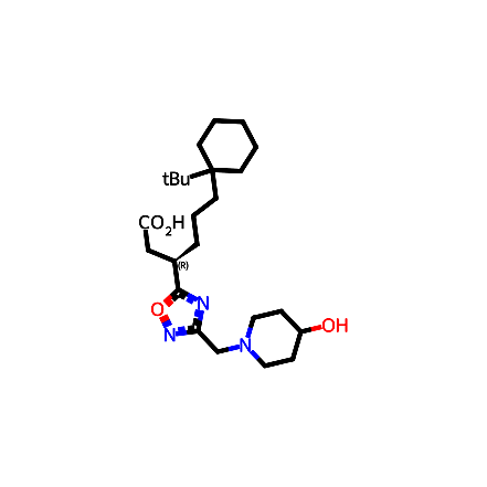 CC(C)(C)C1(CCC[C@H](CC(=O)O)c2nc(CN3CCC(O)CC3)no2)CCCCC1